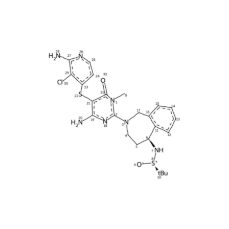 Cn1c(N2CC[C@H](N[S@+]([O-])C(C)(C)C)c3ccccc3C2)nc(N)c(Sc2ccnc(N)c2Cl)c1=O